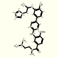 COc1ccc(C(=O)N(C)CCN(C)C)cc1Nc1ncc(-c2ccc(C#N)c(OC(C)Cn3cnnn3)c2)cn1